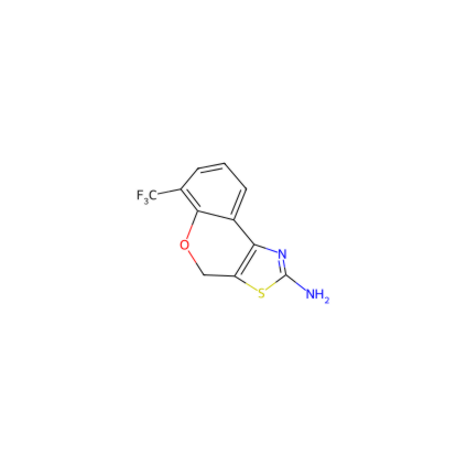 Nc1nc2c(s1)COc1c-2cccc1C(F)(F)F